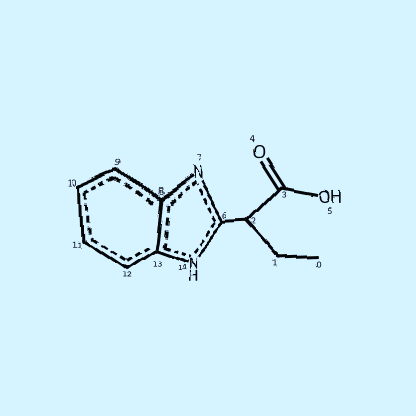 CCC(C(=O)O)c1nc2ccccc2[nH]1